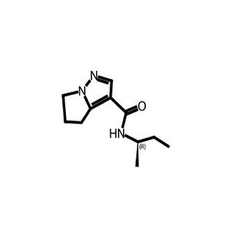 CC[C@@H](C)NC(=O)c1cnn2c1CCC2